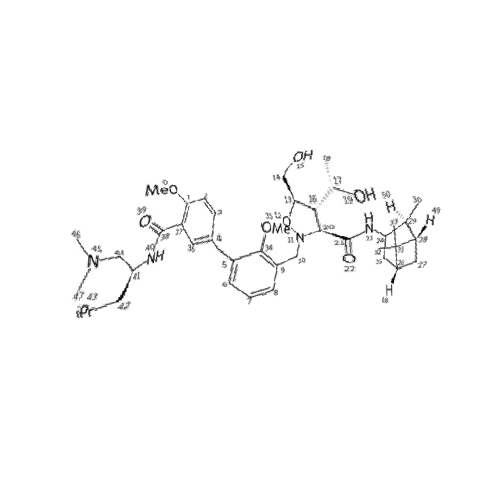 COc1ccc(-c2cccc(CN3O[C@@H](CO)[C@H]([C@H](C)O)[C@H]3C(=O)NC3C[C@H]4C[C@@H]([C@@H]3C)C4(C)C)c2OC)cc1C(=O)N[C@@H](CC(C)C)CN(C)C